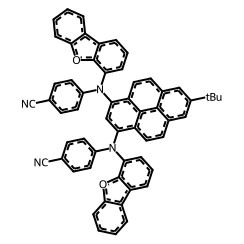 CC(C)(C)c1cc2ccc3c(N(c4ccc(C#N)cc4)c4cccc5c4oc4ccccc45)cc(N(c4ccc(C#N)cc4)c4cccc5c4oc4ccccc45)c4ccc(c1)c2c34